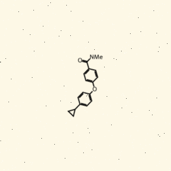 CNC(=O)c1ccc(Oc2ccc(C3CC3)cc2)cc1